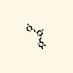 CC1COC(CC[C@H]2CN(C)C[C@@H](CC[C@H]3CN(C)CCO3)O2)CN1C